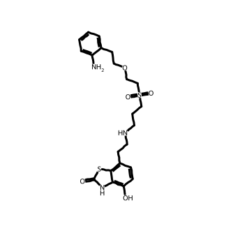 Nc1ccccc1CCOCCS(=O)(=O)CCCNCCc1ccc(O)c2[nH]c(=O)sc12